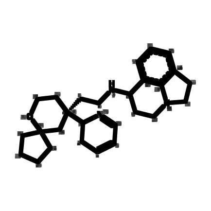 C1=CCC([C@]2(CCNC3CCN4CCc5cccc3c54)CCOC3(CCCC3)C2)N=C1